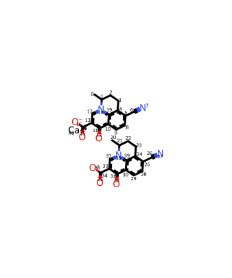 CC1CCc2c(C#N)ccc3c(=O)c(C(=O)[O-])cn1c23.CC1CCc2c(C#N)ccc3c(=O)c(C(=O)[O-])cn1c23.[Ca+2]